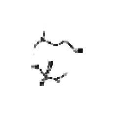 CCN(C)CCO.COS(=O)(=O)O